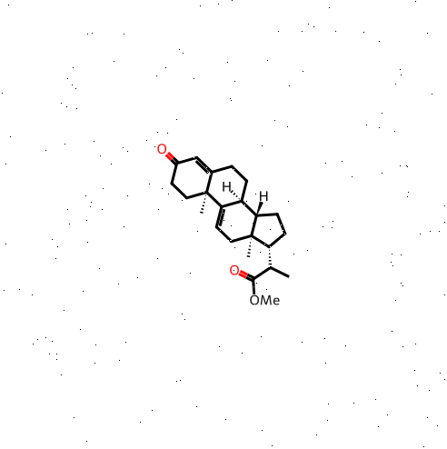 COC(=O)C(C)[C@H]1CC[C@H]2[C@@H]3CCC4=CC(=O)CC[C@]4(C)C3=CC[C@]12C